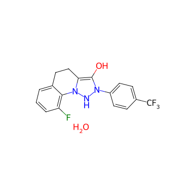 O.OC1=C2CCc3cccc(F)c3N2NN1c1ccc(C(F)(F)F)cc1